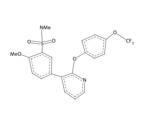 CNS(=O)(=O)c1cc(-c2cccnc2Oc2ccc(OC(F)(F)F)cc2)ccc1OC